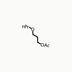 [CH2]C(=O)OCCCOCCC